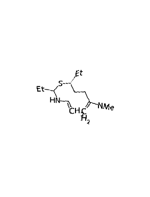 C=CNC(CC)SC(CC)CCC(=C)NC